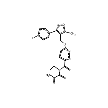 Cc1onc(-c2ccc(F)cc2)c1COc1ccc(C(=O)N2CC[SH4]C(=O)C2=O)nn1